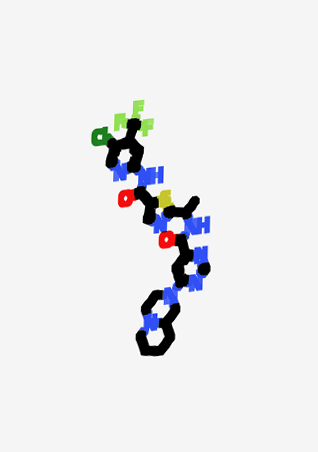 CC(NC(=O)c1cc(N2CCN3CCCCC3C2)ncn1)c1ncc(C(=O)Nc2cc(C(F)(F)F)c(Cl)cn2)s1